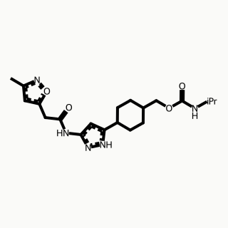 Cc1cc(CC(=O)Nc2cc(C3CCC(COC(=O)NC(C)C)CC3)[nH]n2)on1